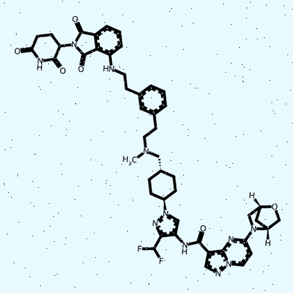 CN(CCc1cccc(CCNc2cccc3c2C(=O)N(C2CCC(=O)NC2=O)C3=O)c1)C[C@H]1CC[C@H](n2cc(NC(=O)c3cnn4ccc(N5C[C@H]6C[C@@H]5CO6)nc34)c(C(F)F)n2)CC1